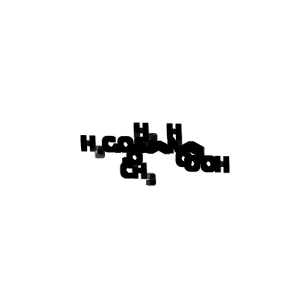 CCOC(OCC)[SiH2]CCCNC(=O)/C=C\C(=O)O